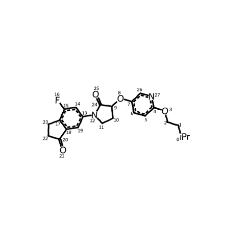 CC(C)CCOc1ccc(OC2CCN(c3cc(F)c4c(c3)C(=O)CC4)C2=O)cn1